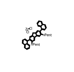 CCCCCc1cc2c(cc1-c1cccc3ccccc13)[CH]c1cc(-c3cccc4ccccc34)c(CCCCC)cc1-2.[Cl][Zr][Cl]